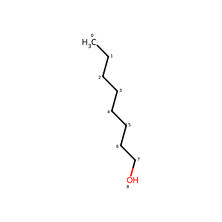 CCCCC[CH]CCO